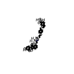 N/C(=C\N(N)CCOc1ccc(Cn2ccc3ccc(C(=O)NO)cc32)cc1)CNc1cccc2c1C(=O)N(C1CCC(=O)NC1=O)C2=O